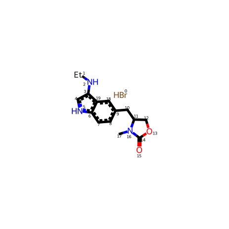 Br.CCNc1c[nH]c2ccc(CC3COC(=O)N3C)cc12